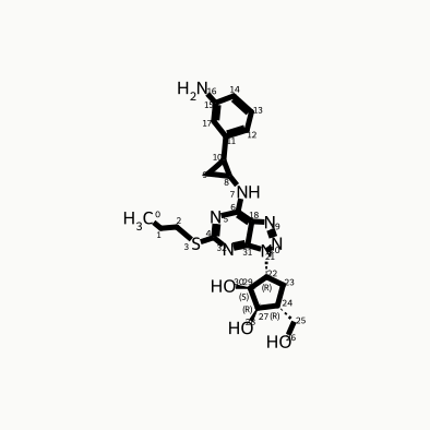 CCCSc1nc(NC2CC2c2cccc(N)c2)c2nnn([C@@H]3C[C@H](CO)[C@@H](O)[C@H]3O)c2n1